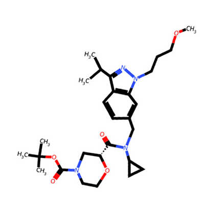 COCCCn1nc(C(C)C)c2ccc(CN(C(=O)[C@H]3CN(C(=O)OC(C)(C)C)CCO3)C3CC3)cc21